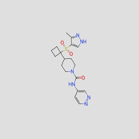 Cc1n[nH]cc1S(=O)(=O)C1(C2CCN(C(=O)Nc3ccnnc3)CC2)CCC1